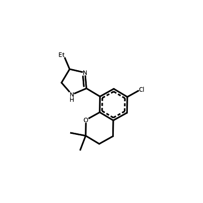 CCC1CNC(c2cc(Cl)cc3c2OC(C)(C)CC3)=N1